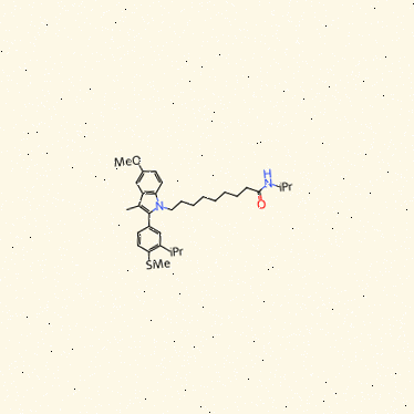 COc1ccc2c(c1)c(C)c(-c1ccc(SC)c(C(C)C)c1)n2CCCCCCCCC(=O)NC(C)C